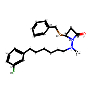 CC(=O)N(CCCCCCc1cccc(Cl)c1)N1C(=O)CC1SCc1ccccc1